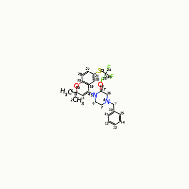 CC1(C)C=C(N2CCN(Cc3ccccc3)CC2=O)c2cc(SC(F)(F)F)ccc2O1